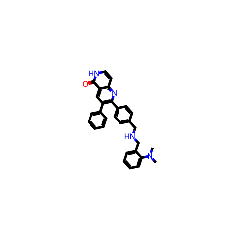 CN(C)c1ccccc1CNCc1ccc(-c2nc3cc[nH]c(=O)c3cc2-c2ccccc2)cc1